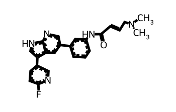 CN(C)CC=CC(=O)Nc1cccc(-c2cnc3[nH]cc(-c4ccc(F)nc4)c3c2)c1